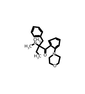 CCC(Cc1ccccc1)(C(=O)c1ccccc1N1CCOCC1)N(C)C